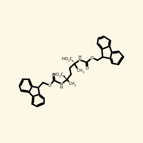 C[C@@](CC[C@](C)(NC(=O)OCC1c2ccccc2-c2ccccc21)C(=O)O)(NC(=O)OCC1c2ccccc2-c2ccccc21)C(=O)O